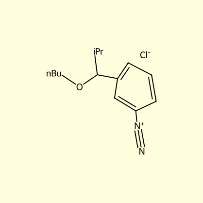 CCCCOC(c1cccc([N+]#N)c1)C(C)C.[Cl-]